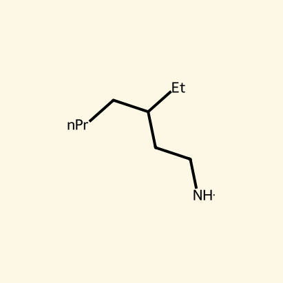 CCCCC(CC)CC[NH]